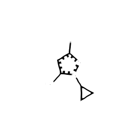 CCc1cc(C(C)(C)C)n(C2CC2)n1